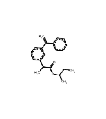 C=C(c1ccccc1)c1cccc(C(C)C(=O)OC(C)CC)c1